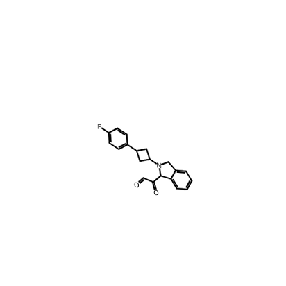 O=CC(=O)C1c2ccccc2CN1C1CC(c2ccc(F)cc2)C1